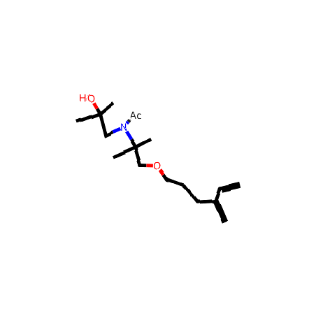 C=CC(=C)CCCOCC(C)(C)N(CC(C)(C)O)C(C)=O